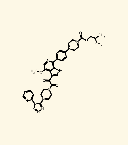 COc1cnc(-c2ccc(N3CCN(C(=O)OCC(C)C)CC3)cc2)c2[nH]cc(C(=O)C(=O)N3CCN(c4nnnn4-c4ccccn4)CC3)c12